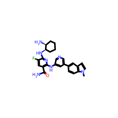 Cn1ccc2cc(-c3cncc(Nc4nc(N[C@@H]5CCCC[C@@H]5N)c(F)cc4C(N)=O)c3)ccc21